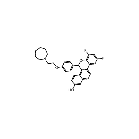 Oc1ccc2c3c(ccc2c1)-c1cc(F)cc(F)c1OC3c1ccc(OCCN2CCCCCC2)cc1